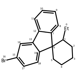 CCC1CCCCC12c1ccccc1-c1cc(Br)ccc12